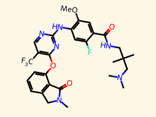 COc1cc(C(=O)NCC(C)(C)CN(C)C)c(F)cc1Nc1ncc(C(F)(F)F)c(Oc2cccc3c2C(=O)N(C)C3)n1